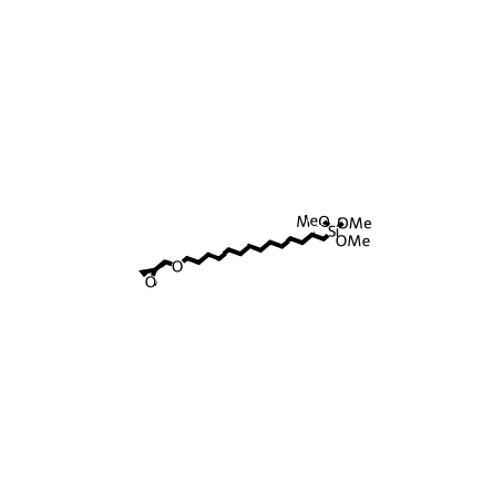 CO[Si](CCCCCCCCCCCCCCOCC1CO1)(OC)OC